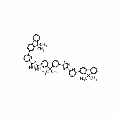 CC1(C)c2ccccc2-c2ccc(-c3cccc(C(=N)SC(=N)c4ccc5c(c4)C(C)(C)c4cc(-c6nnc(-c7cccc(-c8ccc9c(c8)C(C)(C)c8ccccc8-9)n7)s6)ccc4-5)n3)cc21